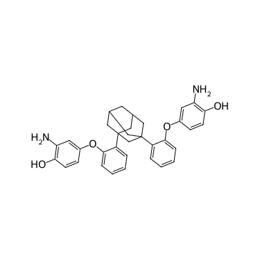 Nc1cc(Oc2ccccc2C23CC4CC(C2)CC(c2ccccc2Oc2ccc(O)c(N)c2)(C4)C3)ccc1O